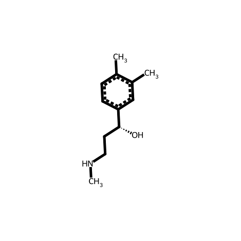 CNCC[C@@H](O)c1ccc(C)c(C)c1